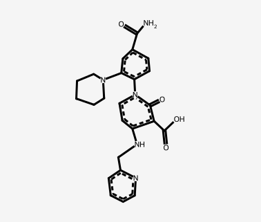 NC(=O)c1ccc(-n2ccc(NCc3ccccn3)c(C(=O)O)c2=O)c(N2CCCCC2)c1